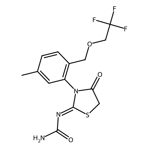 Cc1ccc(COCC(F)(F)F)c(N2C(=O)CSC2=NC(N)=O)c1